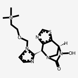 C[Si](C)(C)CCOCn1ccnc1[C@@H]1c2ncsc2[C@@H]2CN1C(=O)N2O